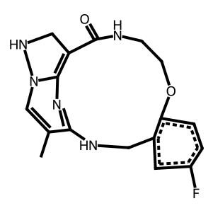 CC1=CN2NCC3=C2N=C1NCc1cc(F)ccc1OCCNC3=O